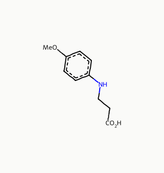 COc1ccc(NCCC(=O)O)cc1